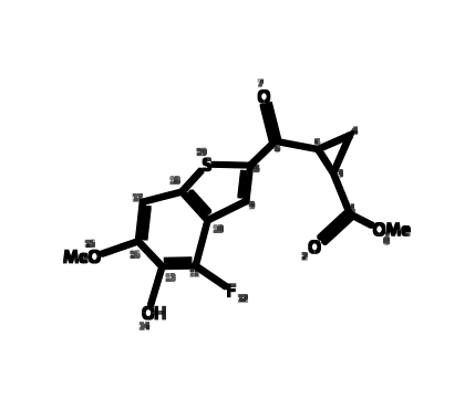 COC(=O)C1CC1C(=O)c1cc2c(F)c(O)c(OC)cc2s1